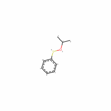 CC(C)OSc1[c]cccc1